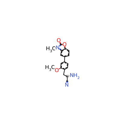 COc1cc(-c2ccc3oc(=O)n(C)c3c2)ccc1C[C@H](N)C#N